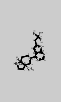 C[C@@]12CCN[C@@H]1CCN(c1ncnc3sc(CC(F)(F)F)cc13)C2